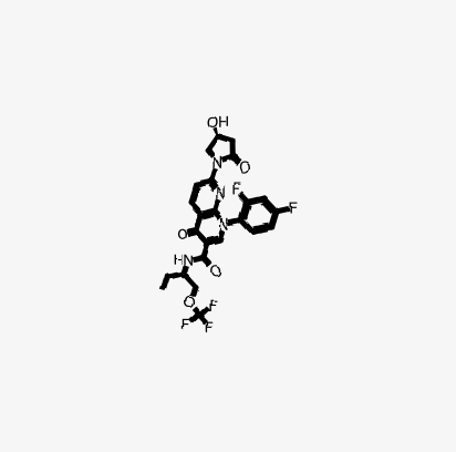 CCC(COC(F)(F)F)NC(=O)c1cn(-c2ccc(F)cc2F)c2nc(N3C[C@@H](O)CC3=O)ccc2c1=O